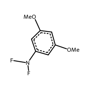 COc1cc(OC)cc(N(F)F)c1